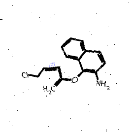 C=C(/C=C\CCl)Oc1c(N)ccc2ccccc12